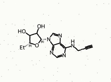 C#CCNc1ncnc2c1ncn2[C@@H]1O[C@H](CC)C(O)C1O